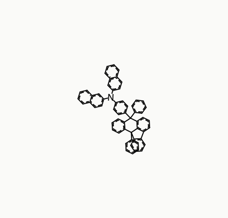 c1ccc(C2(c3ccc(N(c4ccc5ccccc5c4)c4ccc5ccccc5c4)cc3)c3ccccc3C3(c4ccccc4)c4ccccc4-c4cccc2c43)cc1